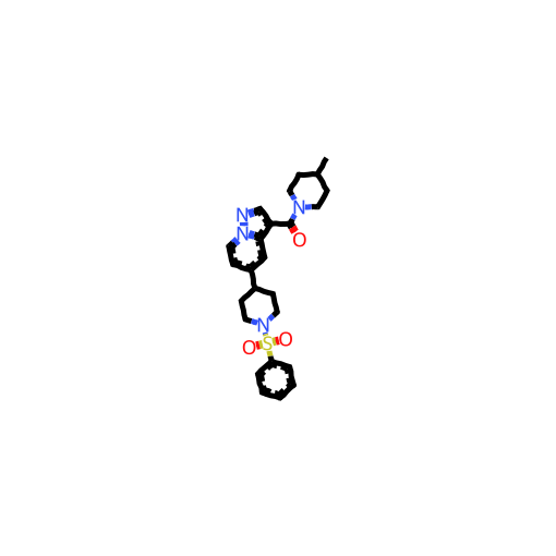 CC1CCN(C(=O)c2cnn3ccc(C4CCN(S(=O)(=O)c5ccccc5)CC4)cc23)CC1